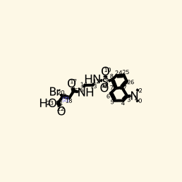 CN(C)c1cccc2c(S(=O)(=O)NCCNC(=O)/C=C(\Br)C(=O)O)cccc12